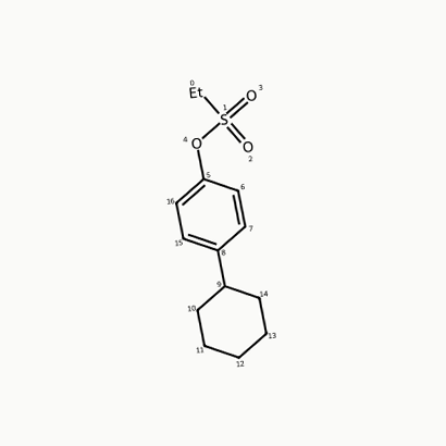 CCS(=O)(=O)Oc1ccc(C2CCCCC2)cc1